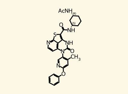 CC(=O)N[C@@H]1CCC[C@H](NC(=O)c2sc3nccc4c3c2NC(=O)N4c2cnc(Oc3ccccc3)cc2C)C1